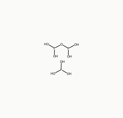 OP(O)O.OP(O)OP(O)O